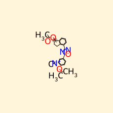 [C-]#[N+]c1cc(-c2nc(-c3cccc4c3CC[C@H]4OC(C)=O)no2)ccc1OC(C)C